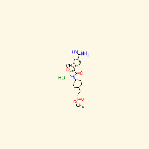 COC(=O)CCC1CCC(N2CC(OC)=C(c3ccc(C(=N)N)cc3)C2=O)CC1.Cl